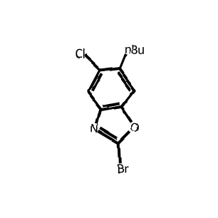 CCCCc1cc2oc(Br)nc2cc1Cl